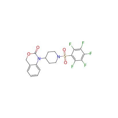 O=C1OCc2ccccc2N1C1CCN(S(=O)(=O)c2c(F)c(F)c(F)c(F)c2F)CC1